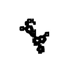 COc1ccc(CNc2nnc(-n3ccnc3)c3ccc(Cl)cc23)cc1Cl